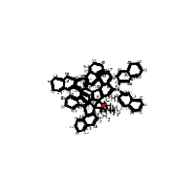 CC(C)(C)C1(C2(C(C)(C)C)c3ccc4ccccc4c3-c3c2cc(N(c2ccc4ccccc4c2)c2ccc4ccccc4c2)c2ccccc32)c2ccc3ccccc3c2-c2c1cc(N(c1ccc3ccccc3c1)c1ccc3ccccc3c1)c1ccccc21